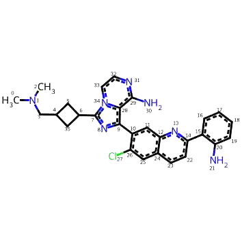 CN(C)CC1CC(c2nc(-c3cc4nc(-c5ccccc5N)ccc4cc3Cl)c3c(N)nccn23)C1